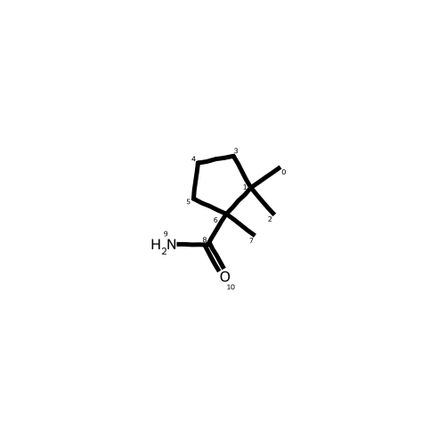 CC1(C)CCCC1(C)C(N)=O